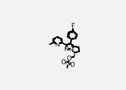 Cc1cccc(-c2nn3c(c2-c2ccc(F)cc2)CC[C@H]3COS(C)(=O)=O)n1